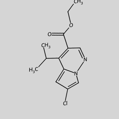 CCOC(=O)c1cnn2cc(Cl)cc2c1C(C)C